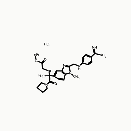 CCCOC(=O)CN[C@@](C)(C(=O)N1CCCC1)c1ccc2c(c1)nc(CNc1ccc(C(=N)N)cc1)n2C.Cl